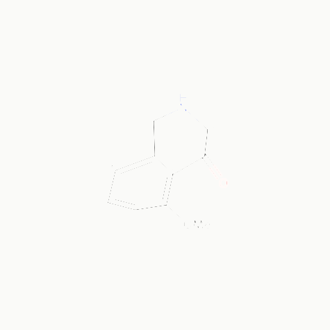 COc1cccc2c1C(=O)CNC2